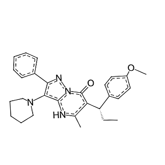 CC[C@@H](c1ccc(OC)cc1)c1c(C)[nH]c2c(N3CCCCC3)c(-c3ccccc3)nn2c1=O